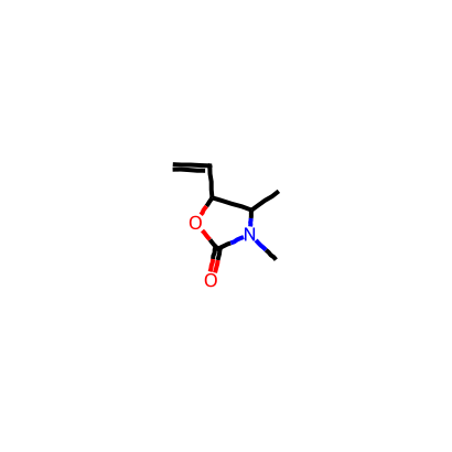 C=CC1OC(=O)N(C)C1C